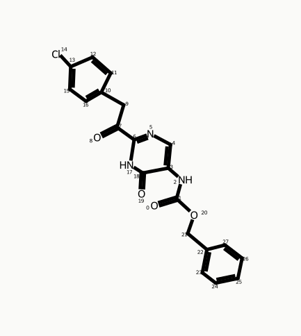 O=C(Nc1cnc(C(=O)Cc2ccc(Cl)cc2)[nH]c1=O)OCc1ccccc1